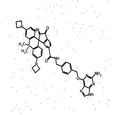 CS1(C)c2cc(N3CCC3)ccc2C2(C(=N)C(=O)c3ccc(C(=O)NCc4ccc(COc5nc(N)nc6[nH]cnc56)cc4)cc32)c2ccc(N3CCC3)cc21